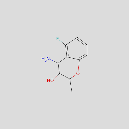 CC1Oc2cccc(F)c2C(N)C1O